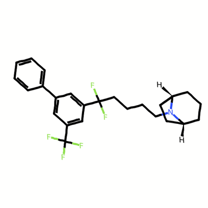 FC(F)(F)c1cc(-c2ccccc2)cc(C(F)(F)CCCCN2[C@@H]3CCC[C@H]2CC3)c1